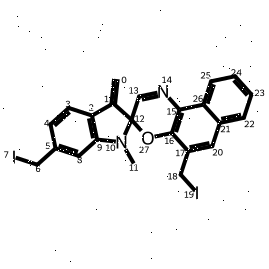 C=C1c2ccc(CI)cc2N(C)C12C=Nc1c(c(CI)cc3ccccc13)O2